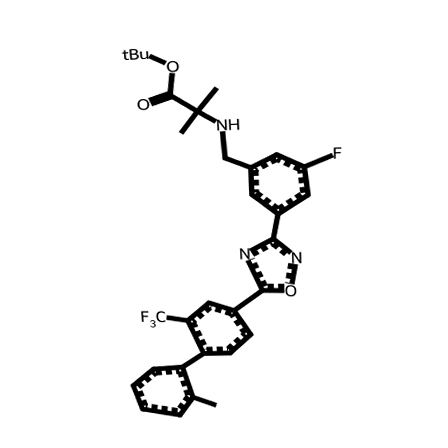 Cc1ccccc1-c1ccc(-c2nc(-c3cc(F)cc(CNC(C)(C)C(=O)OC(C)(C)C)c3)no2)cc1C(F)(F)F